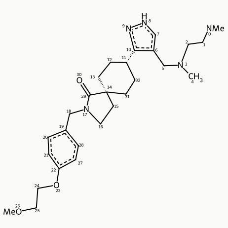 CNCCN(C)Cc1c[nH]nc1[C@H]1CC[C@@]2(CCN(Cc3ccc(OCCOC)cc3)C2=O)CC1